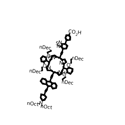 CCCCCCCCCCCCOc1cccc(OCCCCCCCCCCCC)c1-c1c2nc(c(C#Cc3ccc(-c4ccc(C(=O)O)cc4)c4nsnc34)c3ccc([nH]3)c(-c3c(OCCCCCCCCCCCC)cccc3OCCCCCCCCCCCC)c3nc(c(C#Cc4c5ccccc5c(C#Cc5ccc(N(CCCCCCCC)CCCCCCCC)cc5)c5ccccc45)c4ccc1[nH]4)C=C3)C=C2